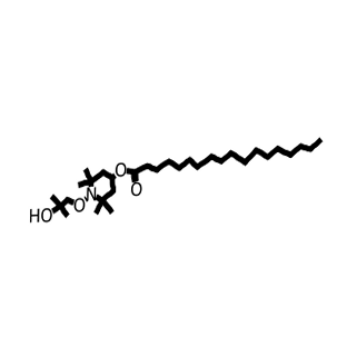 CCCCCCCCCCCCCCCCCC(=O)OC1CC(C)(C)N(OCC(C)(C)O)C(C)(C)C1